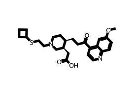 COc1ccc2nccc(C(=O)CC[C@@H]3CCN(CCSC4CCC4)C[C@@H]3CC(=O)O)c2c1